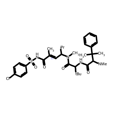 CNC(C(=O)NC(C(=O)N(C)C(/C=C(\C)C(=O)NS(=O)(=O)c1ccc(Cl)cc1)C(C)C)C(C)(C)C)C(C)(C)c1ccccc1